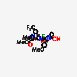 COC[C@H]1CN(C(=O)[C@]2(F)CN(C3(CO)CCCC3)C[C@H]2c2ccc(OC)cc2)C[C@@H]1c1ccc(C(F)(F)F)cc1N1CCC(C(=O)OC)CC1